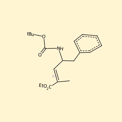 CCOC(=O)/C(C)=C/C(Cc1ccccc1)NC(=O)OC(C)(C)C